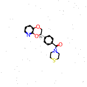 O=C(c1ccc([C@H]2COc3cccnc3O2)cc1)N1CCSCC1